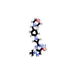 CC(C)(C)n1ncc2c(=O)[nH]c(C3CN(c4ccc(CN5CCOCC5)cc4)C3)nc21